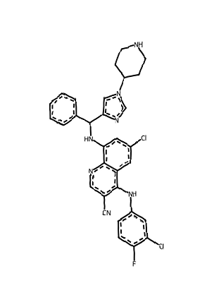 N#Cc1cnc2c(NC(c3ccccc3)c3cn(C4CCNCC4)cn3)cc(Cl)cc2c1Nc1ccc(F)c(Cl)c1